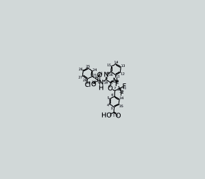 O=C(O)c1ccc(C(Oc2nc3ccccc3nc2NS(=O)(=O)c2ccccc2Cl)C(F)(F)F)cc1